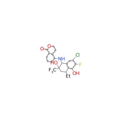 CCC1CC(O)(C(F)(F)F)C(Nc2cccc3c(=O)occc23)c2cc(Cl)c(F)c(O)c21